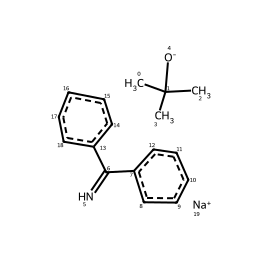 CC(C)(C)[O-].N=C(c1ccccc1)c1ccccc1.[Na+]